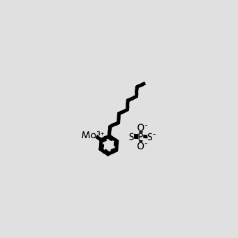 CCCCCCCCc1cccc[c]1[Mo+3].[O-]P([O-])(=S)[S-]